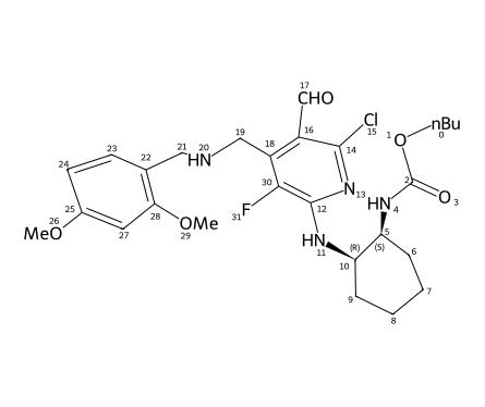 CCCCOC(=O)N[C@H]1CCCC[C@H]1Nc1nc(Cl)c(C=O)c(CNCc2ccc(OC)cc2OC)c1F